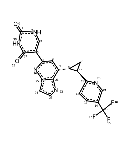 O=c1[nH]cc(-c2cc([C@@H]3C[C@H]3c3ccc(C(F)(F)F)cn3)c3nccn3n2)c(=O)[nH]1